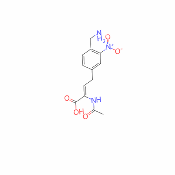 CC(=O)NC(=CCc1ccc(CN)c([N+](=O)[O-])c1)C(=O)O